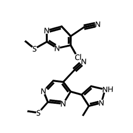 CSc1ncc(C#N)c(-c2c[nH]nc2C)n1.CSc1ncc(C#N)c(Cl)n1